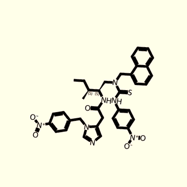 CC[C@H](C)[C@@H](CN(Cc1cccc2ccccc12)C(=S)Nc1ccc([N+](=O)[O-])cc1)NC(=O)Cc1cncn1Cc1ccc([N+](=O)[O-])cc1